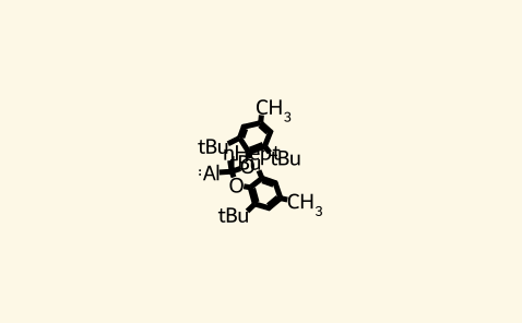 CCCCCCC[C]([Al])(Oc1c(C(C)(C)C)cc(C)cc1C(C)(C)C)Oc1c(C(C)(C)C)cc(C)cc1C(C)(C)C